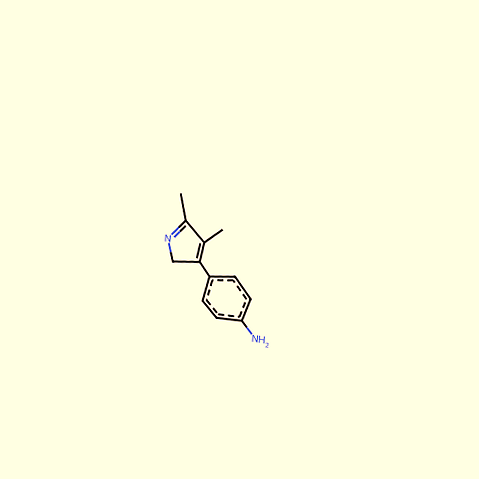 CC1=NCC(c2ccc(N)cc2)=C1C